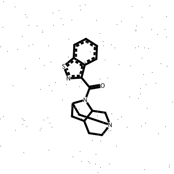 O=C(c1nsc2ccccc12)N1C2CC3CCN(C2)CC31